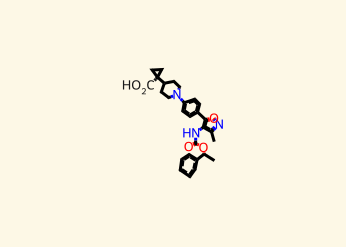 Cc1noc(-c2ccc(N3CCC(C4(C(=O)O)CC4)CC3)cc2)c1NC(=O)OC(C)c1ccccc1